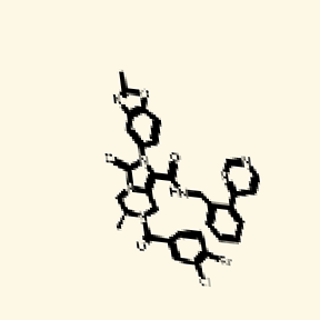 Cc1nc2cc(-n3c(C(=O)NCc4ccccc4-c4ccncn4)c4n(c3=O)C[C@H](C)N(C(=O)c3ccc(Br)c(Cl)c3)C4)ccc2o1